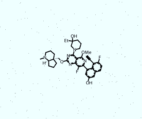 C#Cc1c(F)ccc2cc(O)cc(-c3nc(OC)c4c(N5CCCC(O)(CC)C5)nc(OC[C@]56CCC[C@H]5N(C)CCC6)nc4c3F)c12